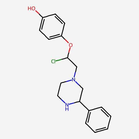 Oc1ccc(OC(Cl)CN2CCNC(c3ccccc3)C2)cc1